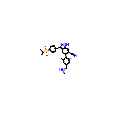 CNCc1cc(C)c(-c2cc3c(-c4ccc(S(=O)(=O)C(C)C)cc4)n[nH]c3cc2C#N)c(F)c1